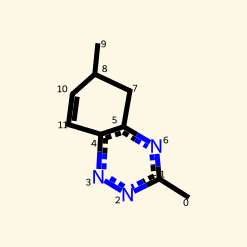 Cc1nnc2c(n1)CC(C)C=C2